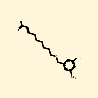 CCC(=O)C=CCCCCCCOCc1cc(C(F)(F)F)cc(C(F)(F)F)c1